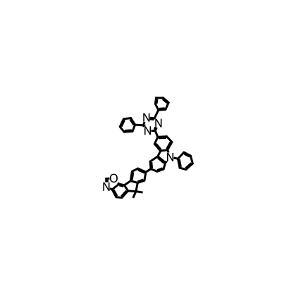 CC1(C)c2cc(-c3ccc4c(c3)c3cc(-c5nc(-c6ccccc6)nc(-c6ccccc6)n5)ccc3n4-c3ccccc3)ccc2-c2c1ccc1ncoc21